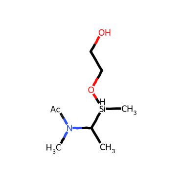 CC(=O)N(C)C(C)[SiH](C)OCCO